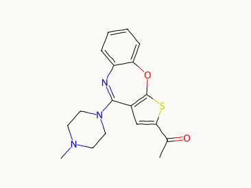 CC(=O)c1cc2c(s1)Oc1ccccc1N=C2N1CCN(C)CC1